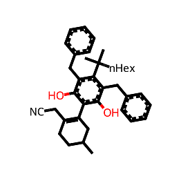 CCCCCCC(C)(C)c1c(Cc2ccccc2)c(O)c(C2=C(CC#N)CCC(C)C2)c(O)c1Cc1ccccc1